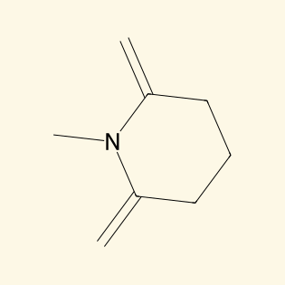 C=C1CCCC(=C)N1C